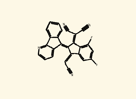 N#C/C=C1/C(=C2/c3ccccc3-c3ncccc32)C(=C(C#N)C#N)c2c(F)cc(F)cc21